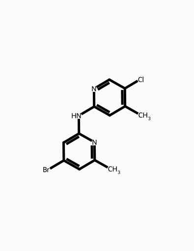 Cc1cc(Br)cc(Nc2cc(C)c(Cl)cn2)n1